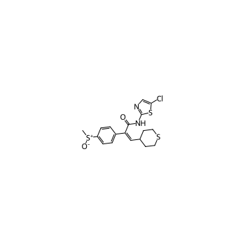 C[S+]([O-])c1ccc(C(=CC2CCSCC2)C(=O)Nc2ncc(Cl)s2)cc1